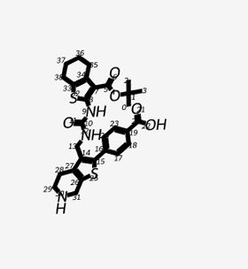 CC(C)(C)OC(=O)c1c(NC(=O)NCc2c(-c3ccc(C(=O)O)cc3)sc3c2CCNC3)sc2c1CCCC2